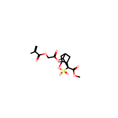 C=C(C)C(=O)OCC(=O)OC1C2CC3[C@H](C2)OS(=O)(=O)C13C(=O)OC